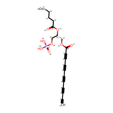 C#CC#CC#CC#CC#CC(=O)OC[C@H](COP(=O)(O)O)OC(=O)CCCCCCCCCCCCC